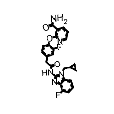 NC(=O)c1cccnc1Oc1ccc(CC(=O)Nc2nc3c(F)cccc3n2CC2CC2)cc1F